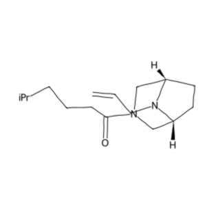 C=CCN1[C@@H]2CC[C@H]1CN(C(=O)CCCC(C)C)C2